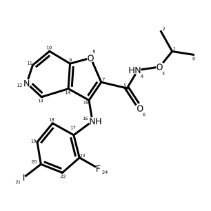 CC(C)ONC(=O)c1oc2ccncc2c1Nc1ccc(I)cc1F